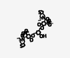 CC[C@@H]1Cc2sccc2CN1C(=O)c1cc(OC)c(OCc2cc(O)cc(COc3cc([N+](=O)[O-])c(C(=O)N4Cc5ccsc5C[C@H]4CC)cc3OC)c2)cc1[N+](=O)[O-]